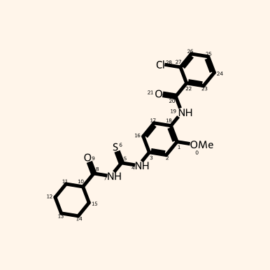 COc1cc(NC(=S)NC(=O)C2CCCCC2)ccc1NC(=O)c1ccccc1Cl